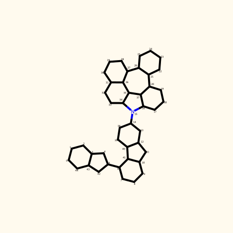 C1CCC2CC(C3CCCC4CC5CC(N6C7CCCC8C9CCCCC9C9CCCC%10CCC6C(C%109)C87)CCC5C43)CC2C1